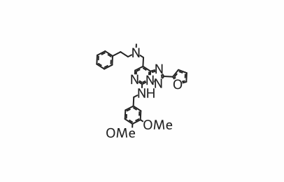 COc1ccc(CNc2ncc(CN(C)CCc3ccccc3)c3nc(-c4ccco4)nn23)cc1OC